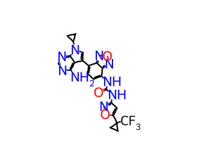 Nc1ncnc2c1c(-c1ccc(NC(=O)Nc3cc(C4(C(F)(F)F)CC4)on3)c3nonc13)cn2C1CC1